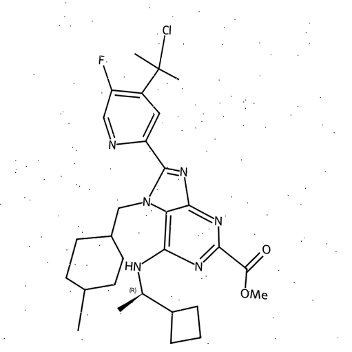 COC(=O)c1nc(N[C@H](C)C2CCC2)c2c(n1)nc(-c1cc(C(C)(C)Cl)c(F)cn1)n2CC1CCC(C)CC1